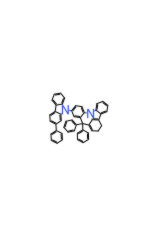 C1=C2c3c(c4ccccc4n3-c3ccc(-n4c5ccccc5c5ccc(-c6ccccc6)cc54)cc3C2(c2ccccc2)c2ccccc2)CC1